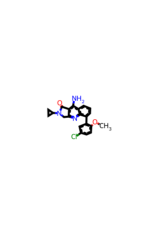 COc1ccc(Cl)cc1-c1cccc2c(N)c3c(nc12)CN(C1CC1)C3=O